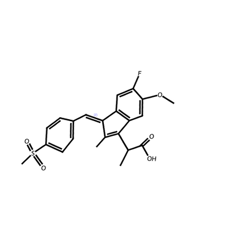 COc1cc2c(cc1F)/C(=C/c1ccc(S(C)(=O)=O)cc1)C(C)=C2C(C)C(=O)O